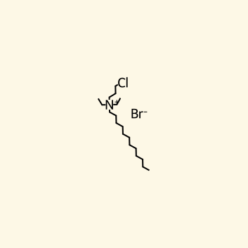 CCCCCCCCCCCC[N+](CC)(CC)CCCCl.[Br-]